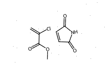 C=C(Cl)C(=O)OC.O=C1C=CC(=O)N1